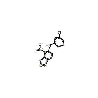 O=[N+]([O-])c1c(Nc2cccc(Cl)c2)ccc2nonc12